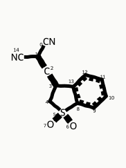 N#CC(=C=C1CS(=O)(=O)c2ccccc21)C#N